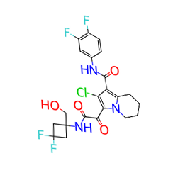 O=C(NC1(CO)CC(F)(F)C1)C(=O)c1c(Cl)c(C(=O)Nc2ccc(F)c(F)c2)c2n1CCCC2